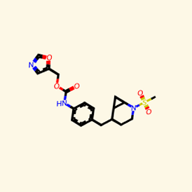 CS(=O)(=O)N1CCC(Cc2ccc(NC(=O)OCc3cnco3)cc2)C2CC21